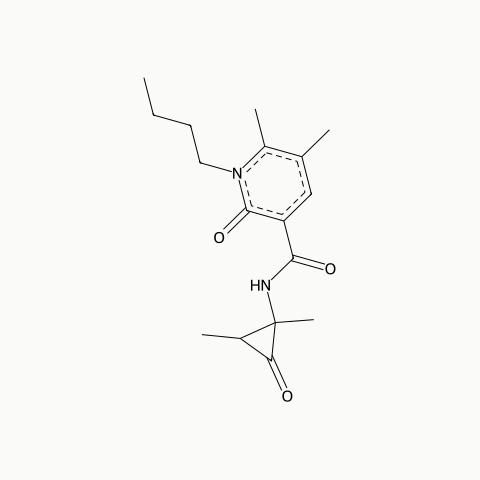 CCCCn1c(C)c(C)cc(C(=O)NC2(C)C(=O)C2C)c1=O